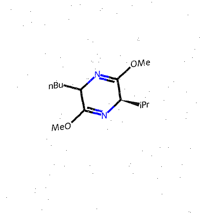 CCCCC1N=C(OC)[C@@H](C(C)C)N=C1OC